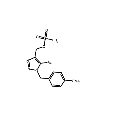 COc1ccc(Cn2nnc(COS(C)(=O)=O)c2C(C)=O)cc1